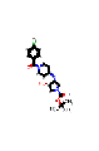 CC(C)(C)OC(=O)N1C[C@H](NC2CCN(C(=O)c3ccc(Cl)cc3)CC2)[C@@H](O)C1